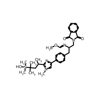 BOC=NC(Cc1ccc(-c2cn(C)c(C(C)CC(C)(C)[Si](C)(C)O)n2)cc1)CN1C(=O)c2ccccc2C1=O